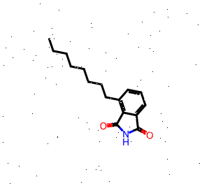 CCCCCCCCc1cccc2c1C(=O)NC2=O